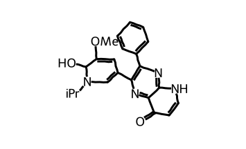 COC1=CC(c2nc3c(=O)cc[nH]c3nc2-c2ccccc2)=CN(C(C)C)C1O